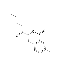 CCCCCC(=O)C1Cc2ccc(C)cc2C(=O)O1